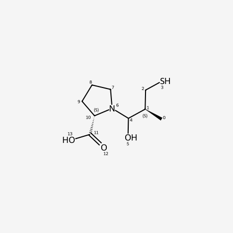 C[C@H](CS)C(O)N1CCC[C@H]1C(=O)O